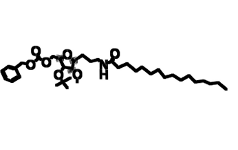 CCCCCCCCCCCCCCCC(=O)NCCC[C@@H]1O[C@H](COC(=O)OCc2ccccc2)C(OC(C)(C)C)[C@@H]1OC